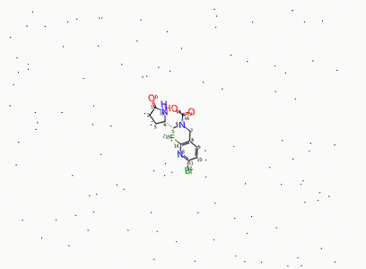 O=C1CC[C@@H](CN(Cc2ccc(Br)nc2F)C(=O)O)N1